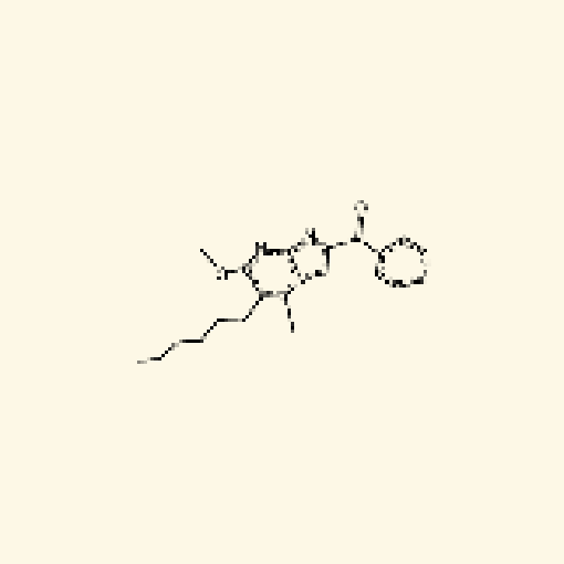 CCCCCCc1c(OC)nc2nc(C(=O)c3ccccc3)cn2c1C